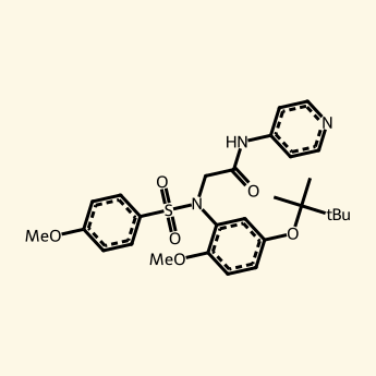 COc1ccc(S(=O)(=O)N(CC(=O)Nc2ccncc2)c2cc(OC(C)(C)C(C)(C)C)ccc2OC)cc1